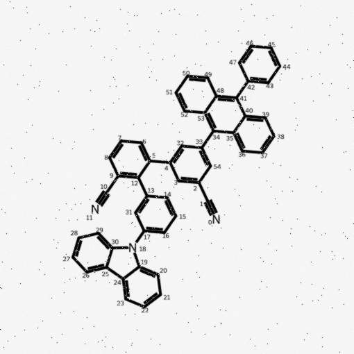 N#Cc1cc(-c2cccc(C#N)c2-c2cccc(-n3c4ccccc4c4ccccc43)c2)cc(-c2c3ccccc3c(-c3ccccc3)c3ccccc23)c1